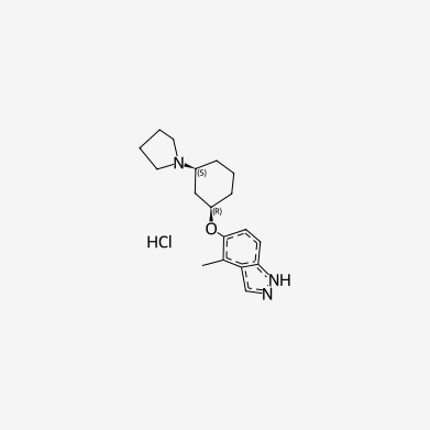 Cc1c(O[C@@H]2CCC[C@H](N3CCCC3)C2)ccc2[nH]ncc12.Cl